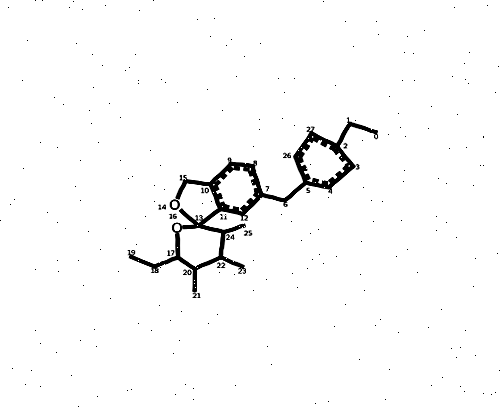 CCc1ccc(Cc2ccc3c(c2)C2(OC3)OC(CC)C(C)C(C)C2C)cc1